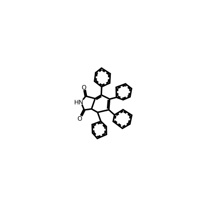 O=C1NC(=O)C2C1=C(c1ccccc1)C(c1ccccc1)=C(c1ccccc1)C2c1ccccc1